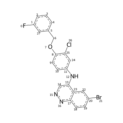 Fc1cccc(COc2ccc(Nc3cnnc4ccc(Br)cc34)cc2Cl)c1